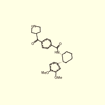 COc1ccc([C@H]2CCCC[C@H]2NC(=O)c2ccc(C(=O)C3CCNCC3)cc2)cc1OC